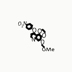 COCCOc1cc2nccc(Oc3ccc([N+](=O)[O-])cc3)c2c2c1OCCO2